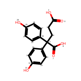 O=C(O)CCC(C(=O)O)(c1ccc(O)cc1)c1ccc(O)cc1